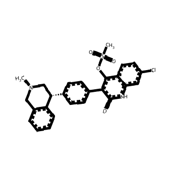 CN1Cc2ccccc2[C@@H](c2ccc(-c3c(OS(C)(=O)=O)c4ccc(Cl)cc4[nH]c3=O)cc2)C1